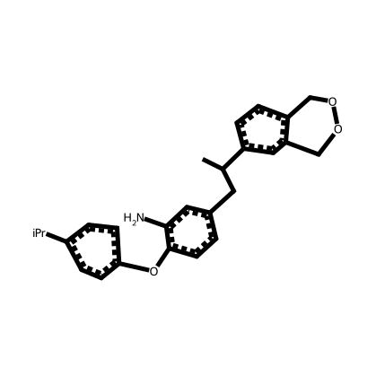 CC(C)c1ccc(Oc2ccc(CC(C)c3ccc4c(c3)COOC4)cc2N)cc1